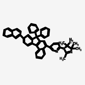 CC1=NC(C)(C)C(C)(C)N1c1ccc(-c2cc3c(c4ccccc24)-c2ccc(-c4ccc5ccccc5c4)cc2C3(c2ccccc2)c2ccccc2)cn1